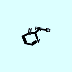 CCN[C]1N=CC=CN1